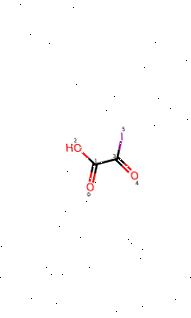 O=C(O)C(=O)I